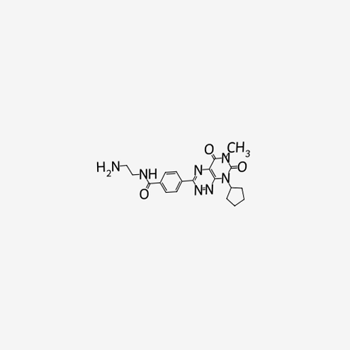 Cn1c(=O)c2nc(-c3ccc(C(=O)NCCN)cc3)nnc2n(C2CCCC2)c1=O